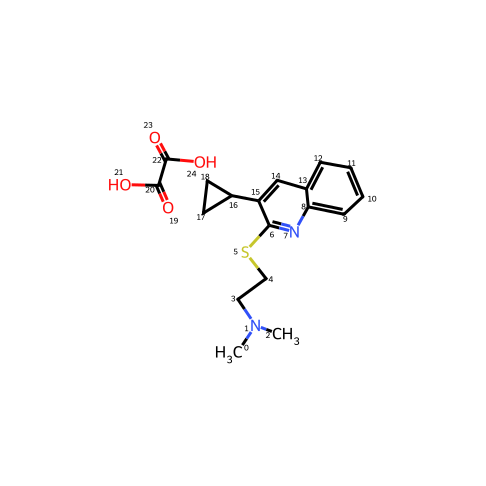 CN(C)CCSc1nc2ccccc2cc1C1CC1.O=C(O)C(=O)O